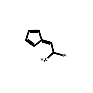 CC(C)C(C)C=C1C=CC=C1